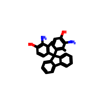 Cc1c(C2(c3ccc(O)c(N)c3C)c3ccccc3-c3ccccc32)ccc(O)c1N